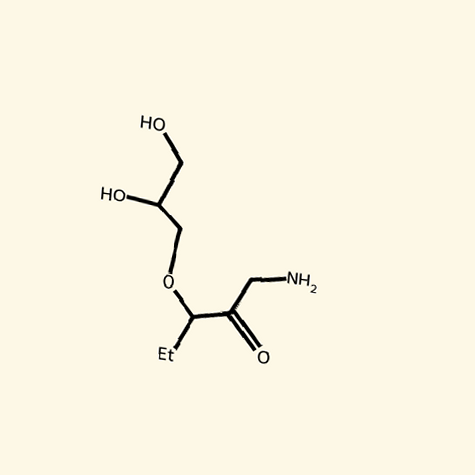 [CH2]CC(OCC(O)CO)C(=O)CN